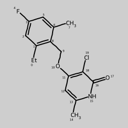 CCc1cc(F)cc(C)c1COc1cc(C)[nH]c(=O)c1Cl